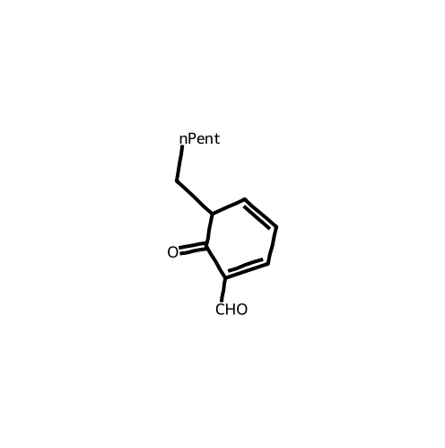 CCCCCCC1C=CC=C(C=O)C1=O